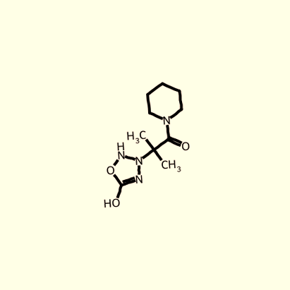 CC(C)(C(=O)N1CCCCC1)N1N=C(O)ON1